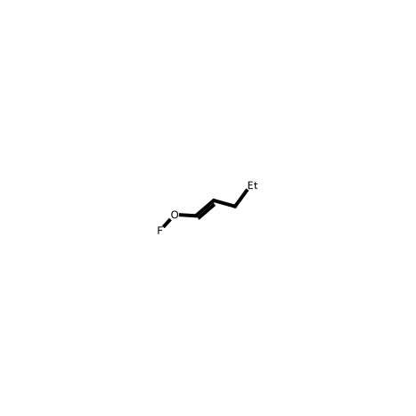 CCCC=COF